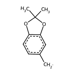 [CH2]c1ccc2c(c1)OC(C)(C)O2